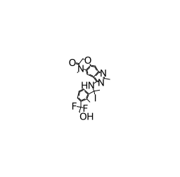 Cc1nc(NC(C)(I)c2cccc(C(F)(F)CO)c2C)c2cc3c(cc2n1)OCC(=O)N3C